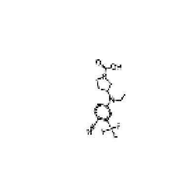 CCN(c1ccc(C#N)c(C(F)(F)F)c1)C1CCN(C(=O)O)C1